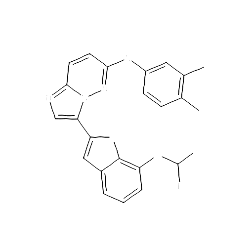 Cc1ccc(Nc2ccc3ncc(-c4cc5cccc(OC(F)F)c5s4)n3n2)cc1C